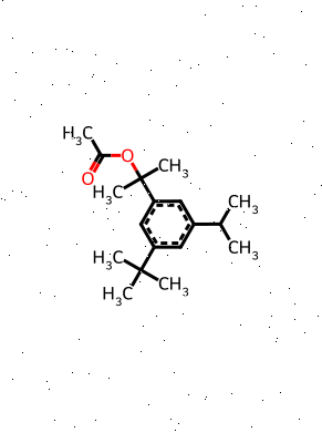 CC(=O)OC(C)(C)c1cc(C(C)C)cc(C(C)(C)C)c1